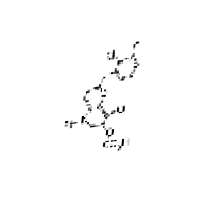 CCn1cc(OC(=O)O)c(=O)c2cc(Cc3cccc(Cl)c3Cl)ccc21